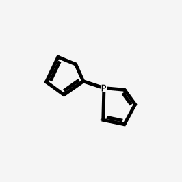 [c]1cccp1C1=CC=CC1